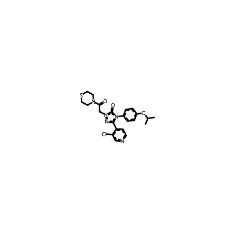 CC(C)Oc1ccc(-n2c(-c3ccncc3Cl)nn(CC(=O)N3CCSCC3)c2=O)cc1